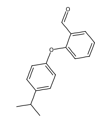 CC(C)c1ccc(Oc2ccccc2C=O)cc1